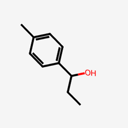 CCC(O)c1ccc(C)cc1